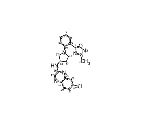 Cc1noc(-c2[c]cccc2N2CC[C@@H](Nc3cnc4ccc(Cl)cc4n3)C2)n1